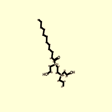 CCCCCCCCCCCC(=O)N(CCO)CCN(CCC)CCO